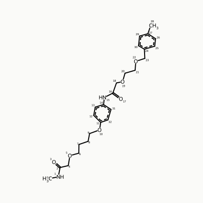 CNC(=O)COCCCCOc1ccc(NC(=O)COCCOCc2ccc(C)cc2)cc1